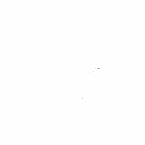 C[C@@H](C(=O)Nc1cccnc1)c1cccc(C(=O)C2CCCC2)c1